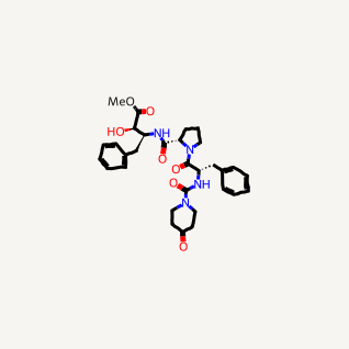 COC(=O)[C@H](O)[C@H](Cc1ccccc1)NC(=O)[C@@H]1CCCN1C(=O)[C@H](Cc1ccccc1)NC(=O)N1CCC(=O)CC1